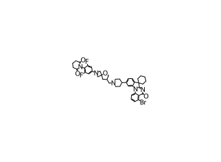 O=C1CCCC(=O)N1c1c(F)cc(N2CC3(CC(CN4CCC(c5ccc6c(c5)-n5c(nc(=O)c7c(Br)cccc75)C65CCCCC5)CC4)CO3)C2)cc1F